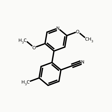 COc1cc(-c2cc(C)ccc2C#N)c(OC)cn1